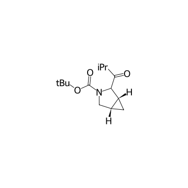 CC(C)C(=O)C1[C@@H]2C[C@@H]2CN1C(=O)OC(C)(C)C